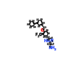 CC(C)(N)c1ncc(-c2ccc(OCc3cccc(-c4ccccc4)c3)c(C(F)(F)F)c2)[nH]1